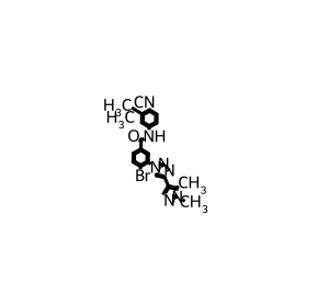 Cc1c(-c2cn(-c3cc(C(=O)Nc4cccc(C(C)(C)C#N)c4)ccc3Br)nn2)cnn1C